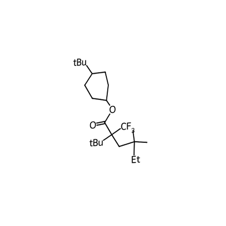 CCC(C)(C)CC(C(=O)OC1CCC(C(C)(C)C)CC1)(C(C)(C)C)C(F)(F)F